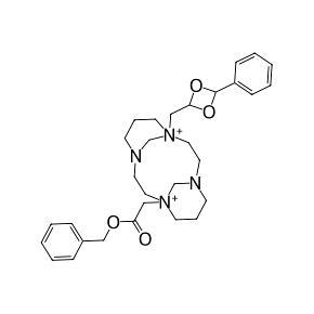 O=C(C[N+]12CCCN(CC[N+]3(CC4OC(c5ccccc5)O4)CCCN(CC1)C3)C2)OCc1ccccc1